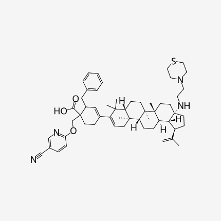 C=C(C)[C@@H]1CC[C@]2(NCCN3CCSCC3)CC[C@]3(C)[C@H](CC[C@@H]4[C@@]5(C)CC=C(C6=CC(Cc7ccccc7)C(COc7ccc(C#N)cn7)(C(=O)O)CC6)C(C)(C)[C@@H]5CC[C@]43C)[C@@H]12